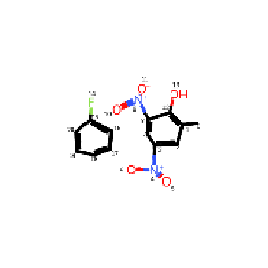 Cc1cc([N+](=O)[O-])cc([N+](=O)[O-])c1O.Fc1ccccc1